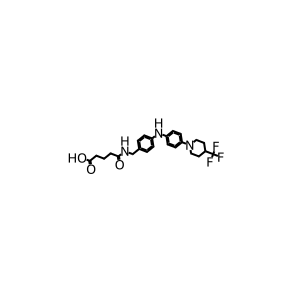 O=C(O)CCCC(=O)NCc1ccc(Nc2ccc(N3CCC(C(F)(F)F)CC3)cc2)cc1